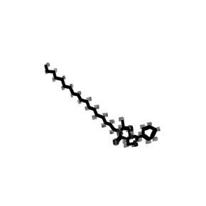 CCCCCCCCCCCCCCCCCCN(C(C)=O)C(=O)[C@@H]1CSC(c2ccccc2)N1